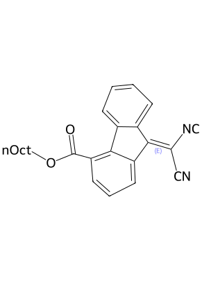 [C-]#[N+]/C(C#N)=C1\c2ccccc2-c2c(C(=O)OCCCCCCCC)cccc21